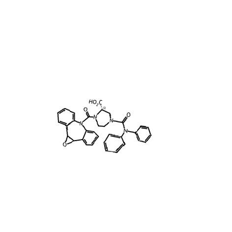 O=C(O)[C@@H]1CN(C(=O)N(c2ccccc2)c2ccccc2)CCN1C(=O)N1c2ccccc2C2OC2c2ccccc21